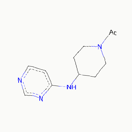 CC(=O)N1CCC(Nc2ccncn2)CC1